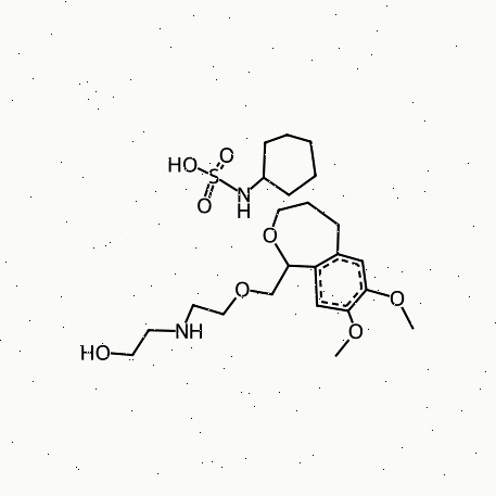 COc1cc2c(cc1OC)C(COCCNCCO)OCCC2.O=S(=O)(O)NC1CCCCC1